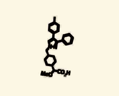 COC(C(=O)O)[C@H]1CC[C@@H](Cn2cc(-c3ccc(C)cc3)c(-c3ccccc3)n2)CC1